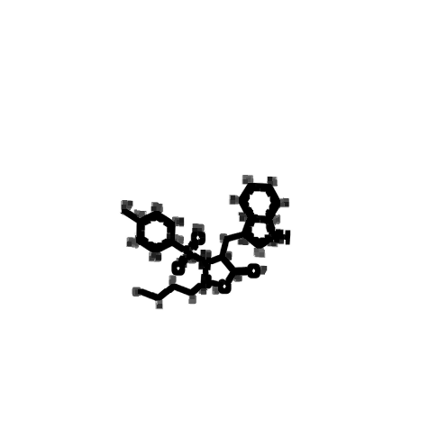 CCCCB1OC(=O)C(Cc2c[nH]c3ccccc23)N1S(=O)(=O)c1ccc(C)cc1